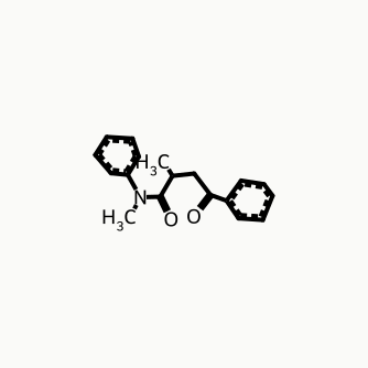 CC(CC(=O)c1ccccc1)C(=O)N(C)c1ccccc1